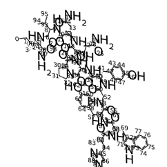 CC[C@@H](C)[C@H](NC(=O)C(NC(=O)[C@H](CC(N)=O)NC(=O)[C@H](CCC(N)=O)NC(=O)[C@@H]1CCCN1C(=O)C(NC(=O)[C@H](Cc1ccc(O)cc1)NC(=O)CNC(=O)[C@H](Cc1ccc(O)cc1)NC(=O)[C@H](Cc1c[nH]c2ccccc12)NC(=O)[C@@H](C)Cc1c[nH]cn1)C(C)O)C(C)C)C(N)=O